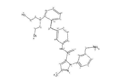 NCc1cccc(-n2nc(C(F)(F)F)cc2C(=O)Nc2cccc(Cc3ccccc3N(CCO)CCO)c2)c1